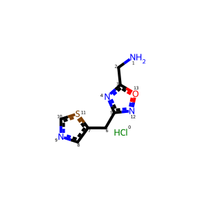 Cl.NCc1nc(Cc2cncs2)no1